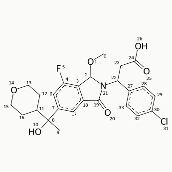 COC1c2c(F)cc(C(C)(O)C3CCOCC3)cc2C(=O)N1C(CC(=O)O)c1ccc(Cl)cc1